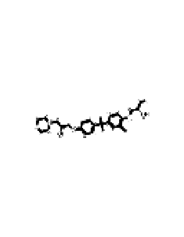 Cc1cc(C(C)(C)c2ccc(OC[C@@H](O)CN3CCOCC3)cc2)ccc1OC[C@@H](O)CCl